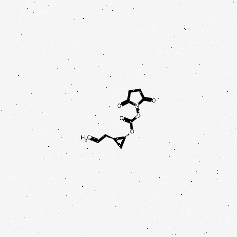 C=CC[C@@H]1C[C@H]1OC(=O)ON1C(=O)CCC1=O